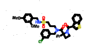 COc1ccc(CNS(=O)(=O)CCCN(Cc2cccc(Cl)c2)C(=O)C2(C(C)C)CCN2C(=O)c2csc3ccccc23)c(OC)c1